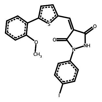 COc1ccccc1-c1ccc(C=C2C(=O)NN(c3ccc(I)cc3)C2=O)s1